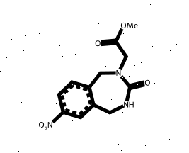 COC(=O)CN1Cc2ccc([N+](=O)[O-])cc2CNC1=O